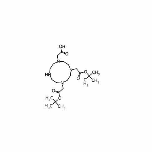 CC(C)(C)OC(=O)CN1CCNCCN(CC(=O)O)CCN(CC(=O)OC(C)(C)C)CC1